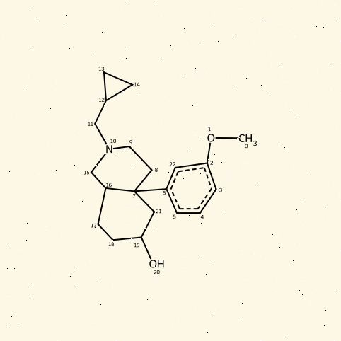 COc1cccc(C23CCN(CC4CC4)CC2CCC(O)C3)c1